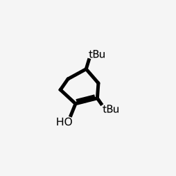 CC(C)(C)C1=C(O)CCC(C(C)(C)C)C1